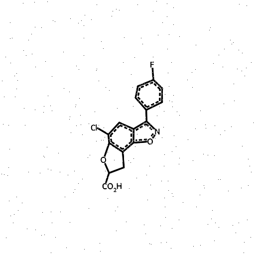 O=C(O)C1Cc2c(c(Cl)cc3c(-c4ccc(F)cc4)noc23)O1